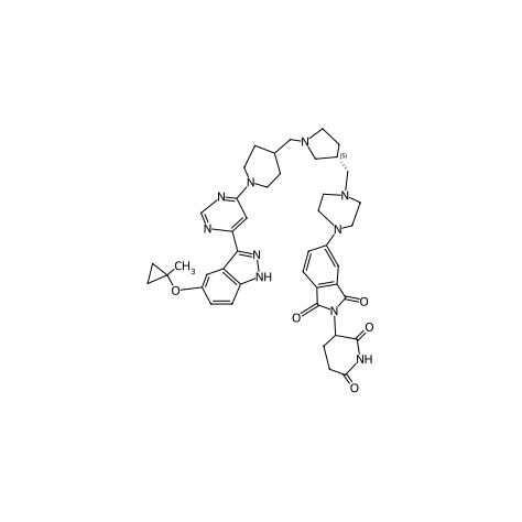 CC1(Oc2ccc3[nH]nc(-c4cc(N5CCC(CN6CC[C@H](CN7CCN(c8ccc9c(c8)C(=O)N(C8CCC(=O)NC8=O)C9=O)CC7)C6)CC5)ncn4)c3c2)CC1